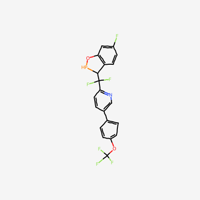 Fc1ccc2c(c1)OPC2C(F)(F)c1ccc(-c2ccc(OC(F)(F)F)cc2)cn1